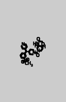 CS(=O)(=O)c1cccc([C@@H](c2ccncc2)C2CCN(C(=O)N3CC[C@@H]4OCC(=O)N[C@@H]4C3)CC2)c1